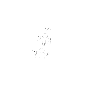 O=[N+]([O-])c1cc([N+](=O)[O-])c(Cl)c([N+](=O)[O-])c1.O=[N+]([O-])c1cc([N+](=O)[O-])c(Cl)c([N+](=O)[O-])c1